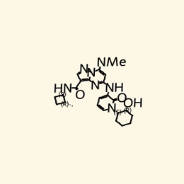 CNc1cc(Nc2cccn([C@H]3CCCC[C@H]3O)c2=O)nc2c(C(=O)N[C@H]3CC[C@H]3C)cnn12